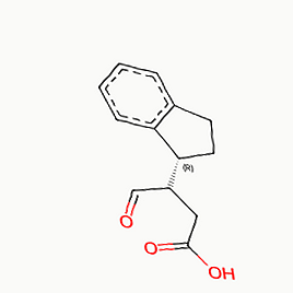 O=CC(CC(=O)O)[C@H]1CCc2ccccc21